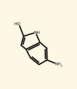 Nc1ccc2cc(O)[nH]c2c1